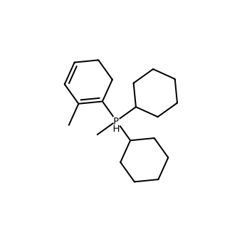 CC1=C([PH](C)(C2CCCCC2)C2CCCCC2)CCC=C1